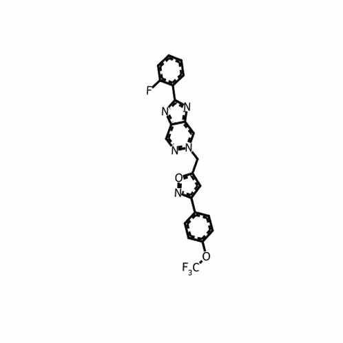 Fc1ccccc1-c1nc2cnn(Cc3cc(-c4ccc(OC(F)(F)F)cc4)no3)cc-2n1